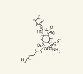 CCCCCS(=O)(=O)c1cc(NCc2ccco2)c(S(=O)(=O)[O-])cc1S(N)(=O)=O.[K+]